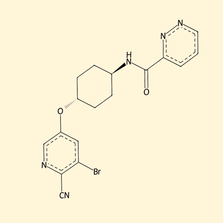 N#Cc1ncc(O[C@H]2CC[C@H](NC(=O)c3cccnn3)CC2)cc1Br